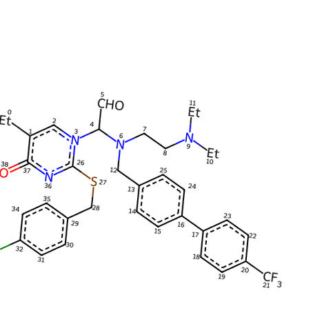 CCc1cn(C(C=O)N(CCN(CC)CC)Cc2ccc(-c3ccc(C(F)(F)F)cc3)cc2)c(SCc2ccc(F)cc2)nc1=O